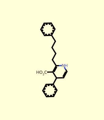 O=C(O)C1=C(CCCCc2ccccc2)NC=CC1c1ccccc1